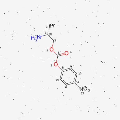 CC(C)[C@@H](N)COC(=O)Oc1ccc([N+](=O)[O-])cc1